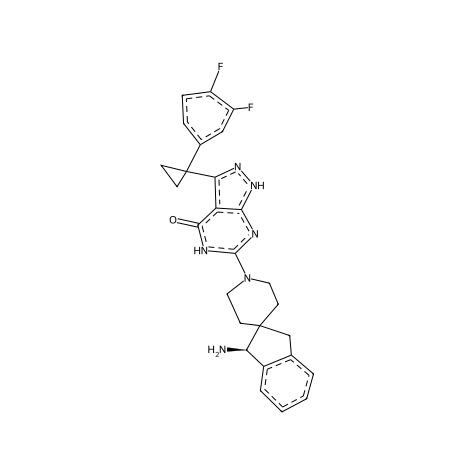 N[C@@H]1c2ccccc2CC12CCN(c1nc3[nH]nc(C4(c5ccc(F)c(F)c5)CC4)c3c(=O)[nH]1)CC2